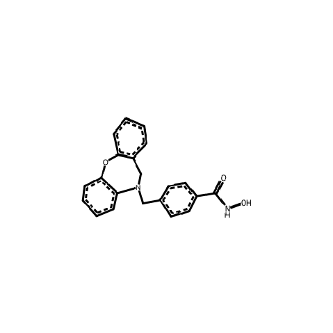 O=C(NO)c1ccc(CN2Cc3ccccc3Oc3ccccc32)cc1